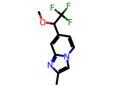 COC(c1ccn2cc(C)nc2c1)C(F)(F)F